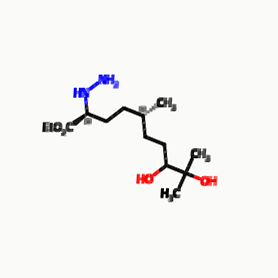 CCOC(=O)[C@H](CC[C@H](C)CCC(O)C(C)(C)O)NN